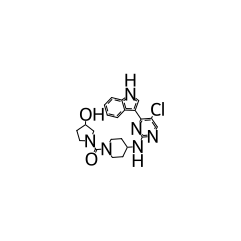 O=C(N1CCC(Nc2ncc(Cl)c(-c3c[nH]c4ccccc34)n2)CC1)N1CCC(O)C1